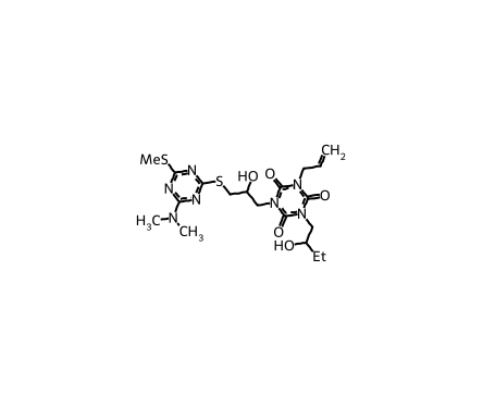 C=CCn1c(=O)n(CC(O)CC)c(=O)n(CC(O)CSc2nc(SC)nc(N(C)C)n2)c1=O